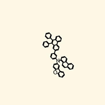 c1ccc(-c2c(-c3ccccc3)c3cc(-c4cccc(N(c5ccc6oc7ccccc7c6c5)c5cccc6c5ccc5ccccc56)c4)ccc3c3ccccc23)cc1